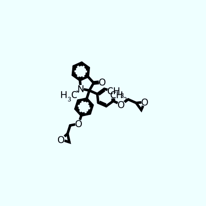 C=C(/C=C\C(=C/C)C1(c2ccc(OCC3CO3)cc2)C(=O)c2ccccc2N1C)OCC1CO1